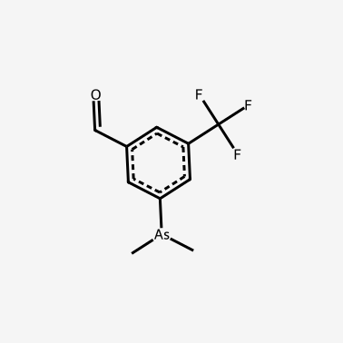 C[As](C)c1cc(C=O)cc(C(F)(F)F)c1